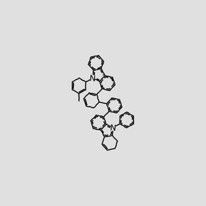 CC1=CC(n2c3ccccc3c3cccc(C4=CC=CCC4c4ccccc4-c4cccc5c6c(n(-c7ccccc7)c45)CCC=C6)c32)CC=C1